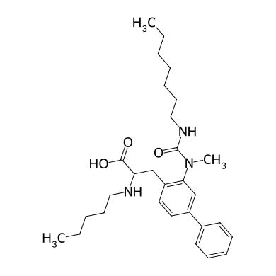 CCCCCCCNC(=O)N(C)c1cc(-c2ccccc2)ccc1CC(NCCCCC)C(=O)O